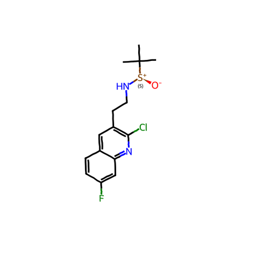 CC(C)(C)[S@@+]([O-])NCCc1cc2ccc(F)cc2nc1Cl